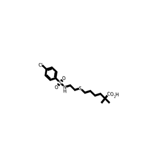 CC(C)(CCCCSCCNS(=O)(=O)c1ccc(Cl)cc1)C(=O)O